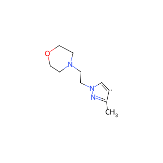 Cc1[c]cn(CCN2CCOCC2)n1